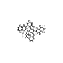 CC1(C)c2ccccc2C=c2c1cc1c(c2-c2ccc3ccccc3c2)C=c2cccc(-c3ccc4ccccc4c3)c2=1